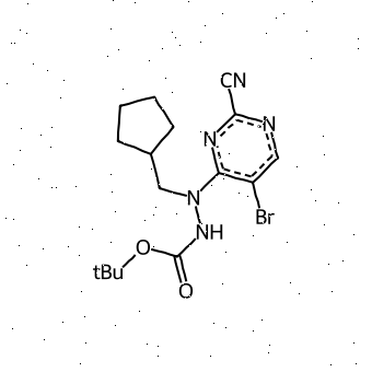 CC(C)(C)OC(=O)NN(CC1CCCC1)c1nc(C#N)ncc1Br